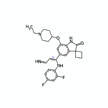 CCN1CCC(Oc2cc(/C(=C/C=N)Nc3ccc(F)cc3F)cc3c2NC(=O)C32CCC2)CC1